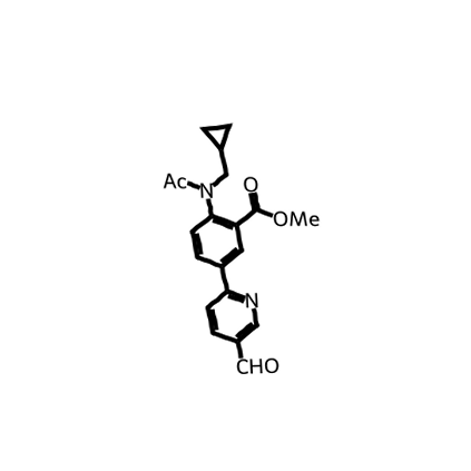 COC(=O)c1cc(-c2ccc(C=O)cn2)ccc1N(CC1CC1)C(C)=O